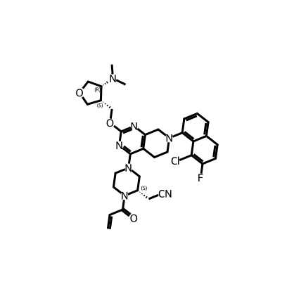 C=CC(=O)N1CCN(c2nc(OC[C@@H]3COC[C@@H]3N(C)C)nc3c2CCN(c2cccc4ccc(F)c(Cl)c24)C3)C[C@@H]1CC#N